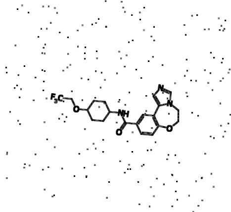 O=C(NC1CCC(OCC(F)(F)F)CC1)c1ccc2c(c1)-c1cncn1CCO2